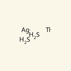 S.S.[Ag].[Tl]